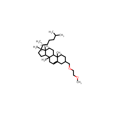 BC12CC=C3CC(COCCOC)CCC3(C)C1CCC1(C)C2CC[C@]1(B)[C@H](C)CCCC(C)C